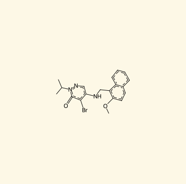 COc1ccc2ccccc2c1CNc1cnn(C(C)C)c(=O)c1Br